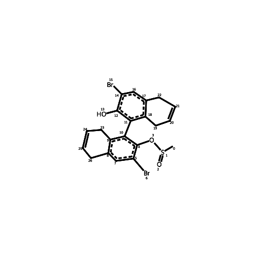 CS(=O)Oc1c(Br)cc2c(c1-c1c(O)c(Br)cc3c1CC=CC3)CC=CC2